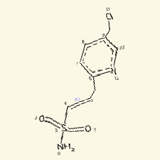 NS(=O)(=O)/C=C/c1ccc(Cl)cn1